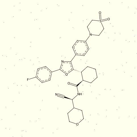 N#C[C@@H](NC(=O)[C@@H]1CCCC[C@H]1c1oc(-c2ccc(F)cc2)nc1-c1ccc(N2CCS(=O)(=O)CC2)cc1)C1CCOCC1